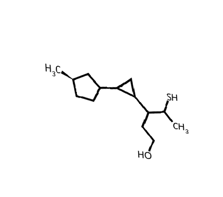 CC(S)C(CCO)C1CC1C1CC[C@@H](C)C1